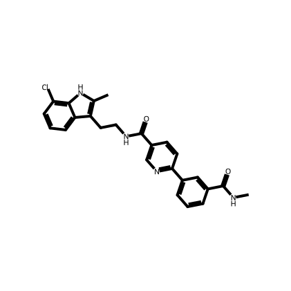 CNC(=O)c1cccc(-c2ccc(C(=O)NCCc3c(C)[nH]c4c(Cl)cccc34)cn2)c1